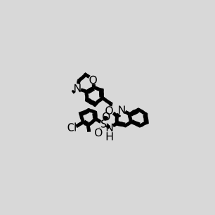 Cc1c(Cl)cccc1S(=O)(=O)Nc1cc2ccccc2nc1OCc1ccc2c(c1)OCCN2C